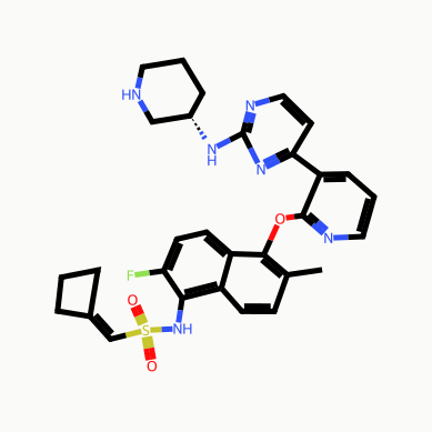 Cc1ccc2c(NS(=O)(=O)C=C3CCC3)c(F)ccc2c1Oc1ncccc1-c1ccnc(N[C@H]2CCCNC2)n1